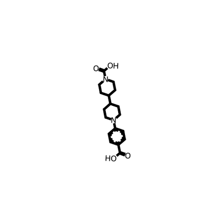 O=C(O)c1ccc(N2CCC(C3CCN(C(=O)O)CC3)CC2)cc1